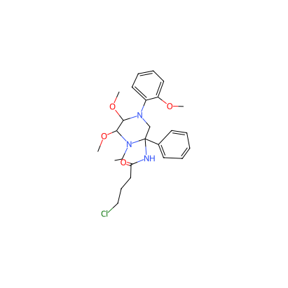 CCN1C(OC)C(OC)N(c2ccccc2OC)CC1(NC(=O)CCCCl)c1ccccc1